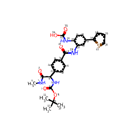 CNC(=O)C(NC(=O)OC(C)(C)C)c1ccc(C(=O)Nc2cc(-c3cccs3)ccc2NC(=O)O)cc1